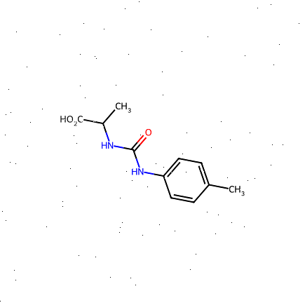 Cc1ccc(NC(=O)NC(C)C(=O)O)cc1